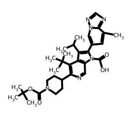 Cc1cc(-c2c(C(C)C)c3c(C(C)(C)C)c(C4CCN(C(=O)OC(C)(C)C)CC4)ncc3n2C(=O)O)cn2ncnc12